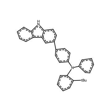 CC(C)(C)c1ccccc1N(c1ccccc1)c1ccc(-c2ccc3[nH]c4ccccc4c3c2)cc1